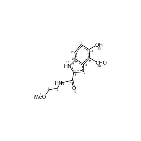 COCCNC(=O)c1cc2c(C=O)c(O)ccc2[nH]1